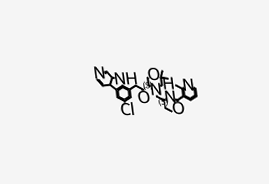 CC[C@@H](CN1CC(C)(C)OC[C@H]1C(=O)Cc1cc(Cl)cc2c1NC1C=NC=CC21)NC(=O)c1cccnc1C